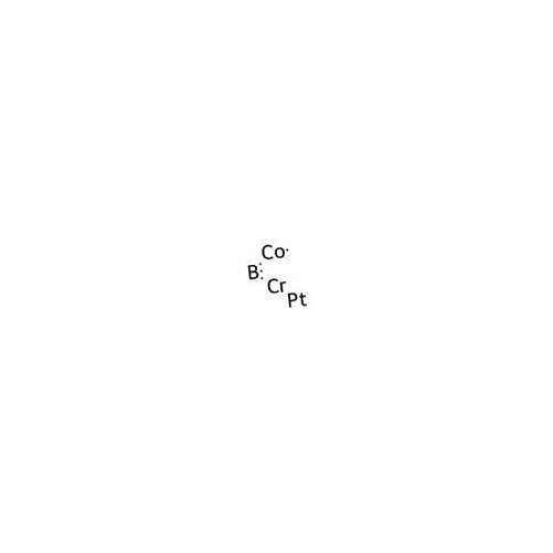 [B].[Co].[Cr].[Pt]